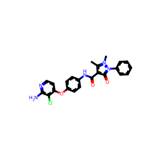 Cc1c(C(=O)Nc2ccc(Oc3ccnc(N)c3Cl)cc2)c(=O)n(-c2ccccc2)n1C